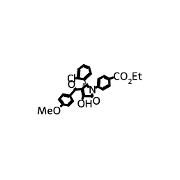 CCOC(=O)c1ccc(N2C(=O)C(O)=C(C(=O)c3ccc(OC)cc3)[C@@H]2c2ccccc2Cl)cc1